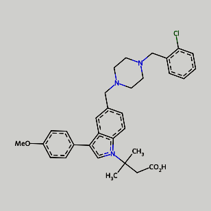 COc1ccc(-c2cn(C(C)(C)CC(=O)O)c3ccc(CN4CCN(Cc5ccccc5Cl)CC4)cc23)cc1